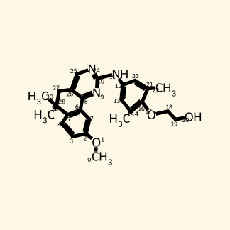 COc1ccc2c(c1)-c1nc(Nc3cc(C)c(OCCO)c(C)c3)ncc1CC2(C)C